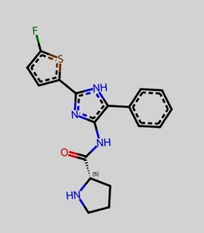 O=C(Nc1nc(-c2ccc(F)s2)[nH]c1-c1ccccc1)[C@@H]1CCCN1